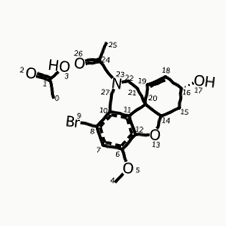 CC(=O)O.COc1cc(Br)c2c3c1OC1C[C@@H](O)C=CC31CCN(C(C)=O)C2